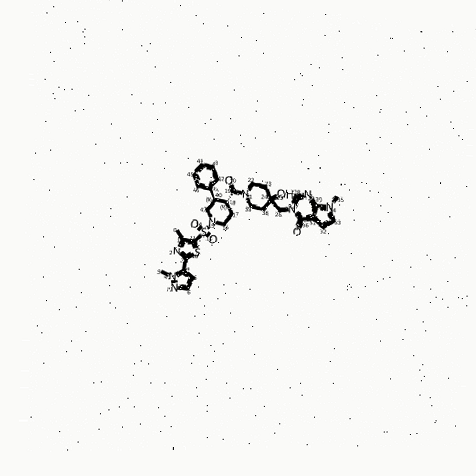 Cc1nc(-c2ccnn2C)sc1S(=O)(=O)N1CC[C@@H](C(=O)N2CCC(O)(Cn3cnc4c(ccn4C)c3=O)CC2)[C@H](c2ccccc2)C1